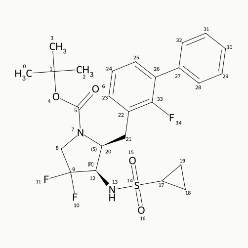 CC(C)(C)OC(=O)N1CC(F)(F)[C@H](NS(=O)(=O)C2CC2)[C@@H]1Cc1cccc(-c2ccccc2)c1F